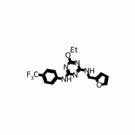 CCOc1nc(NCc2ccco2)nc(Nc2ccc(C(F)(F)F)cc2)n1